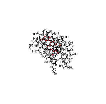 CC[C@H](C)[C@H](NC(=O)[C@H](CCC(=O)O)NC(=O)[C@@H](NC(=O)[C@@H](NC(=O)[C@@H](NC(=O)[C@@H](N)CO)C(C)C)[C@@H](C)O)[C@@H](C)O)C(=O)N[C@@H](CC(C)C)C(=O)N1CCC[C@H]1C(=O)N[C@H](C(=O)N[C@@H](CO)C(=O)N[C@@H](CCSC)C(=O)N[C@H](C(=O)N[C@@H](CCCCN)C(=O)N[C@H](C(=O)N[C@@H](CO)C(=O)N[C@H](C(=O)N[C@@H](CC(=O)O)C(=O)N[C@@H](CS)C(=O)N[C@H](C(=O)N[C@@H](CCSC)C(=O)O)[C@@H](C)O)C(C)C)[C@@H](C)O)[C@@H](C)O)C(C)C